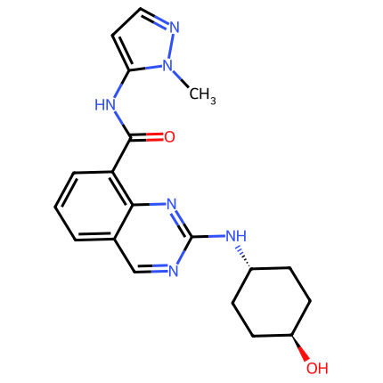 Cn1nccc1NC(=O)c1cccc2cnc(N[C@H]3CC[C@H](O)CC3)nc12